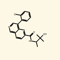 CC(NC(=O)c1ccc2cncc(-c3ccccc3Cl)c2n1)C(C)(C)O